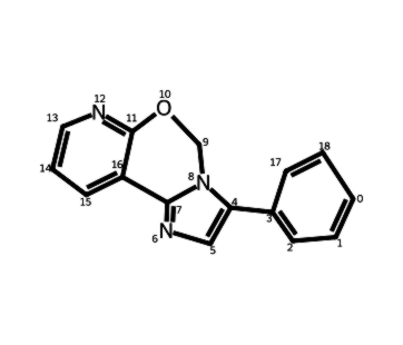 c1ccc(-c2cnc3n2COc2ncccc2-3)cc1